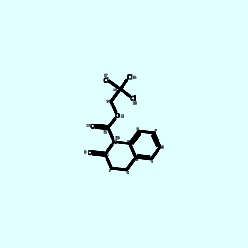 O=C1CCc2ccccc2N1C(=O)OCC(Cl)(Cl)Cl